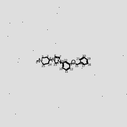 CN1CCC(N2C=CN(c3cccc(OCc4ccccc4)c3)C2)CC1